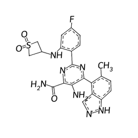 Cc1ccc2[nH]ncc2c1-c1nc(-c2ccc(F)cc2NC2CS(=O)(=O)C2)nc(C(N)=O)c1N